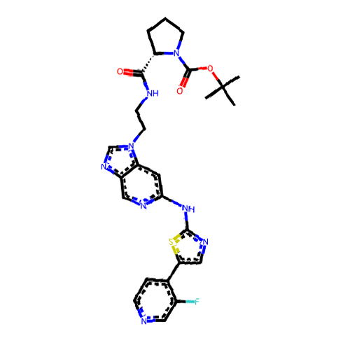 CC(C)(C)OC(=O)N1CCC[C@H]1C(=O)NCCn1cnc2cnc(Nc3ncc(-c4ccncc4F)s3)cc21